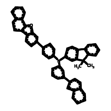 CC1(C)c2ccccc2-c2ccc(N(c3ccc(-c4ccc5c(c4)oc4c6ccccc6ccc54)cc3)c3cccc(-c4ccc5ccccc5c4)c3)cc21